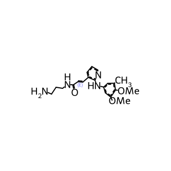 COc1cc(Nc2ncccc2/C=C/C(=O)NCCCN)cc(C)c1OC